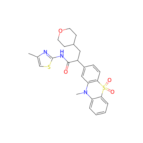 Cc1csc(NC(=O)C(CC2CCOCC2)c2ccc3c(c2)N(C)c2ccccc2S3(=O)=O)n1